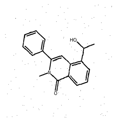 CC(O)c1cccc2c(=O)n(C)c(-c3ccccc3)cc12